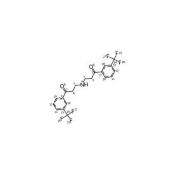 O=C(CCNCCC(=O)c1cccc(C(F)(F)F)c1)c1cccc(C(F)(F)F)c1